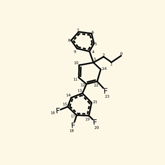 CCCC1(c2ccccc2)C=CC(c2cc(F)c(F)c(F)c2)=C(F)C1